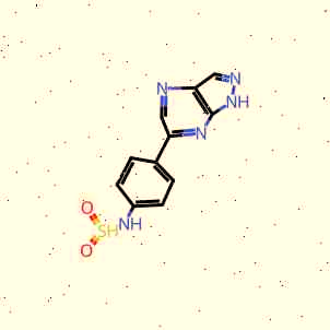 O=[SH](=O)Nc1ccc(-c2cnc3cn[nH]c3n2)cc1